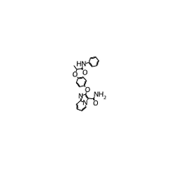 CC(Oc1ccc(Oc2nc3ccccn3c2C(N)=O)cc1)C(=O)Nc1ccccc1